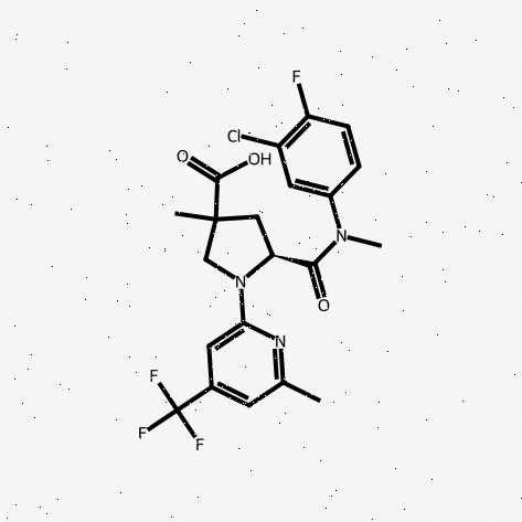 Cc1cc(C(F)(F)F)cc(N2CC(C)(C(=O)O)C[C@H]2C(=O)N(C)c2ccc(F)c(Cl)c2)n1